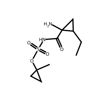 CCC1CC1(N)C(=O)NS(=O)(=O)OC1(C)CC1